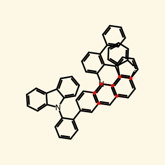 c1ccc(-c2ccccc2-c2c(-c3ccccc3)cccc2N(c2ccc(-c3ccccc3-n3c4ccccc4c4ccccc43)cc2)c2cccc3sc4ccccc4c23)cc1